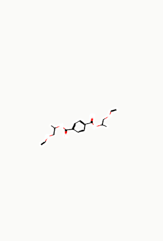 C=COCC(C)OC(=O)c1ccc(C(=O)OC(C)COC=C)cc1